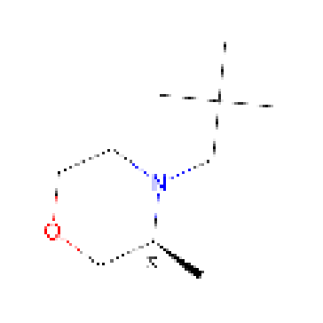 C[C@H]1COCCN1CC(C)(C)C